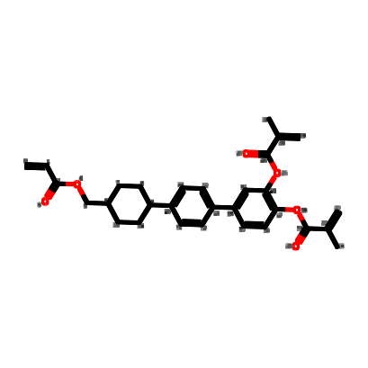 C=CC(=O)OCC1CCC(c2ccc(-c3ccc(OC(=O)C(=C)C)c(OC(=O)C(=C)C)c3)cc2)CC1